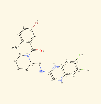 COc1ccc(Br)cc1C(=O)N1CCCCC1CNc1cnc2cc(F)c(F)cc2n1